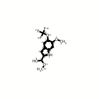 COc1cc2[nH]c(C(O)OC)cc2cc1OC(F)(F)F